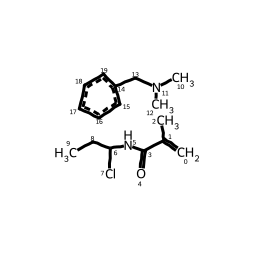 C=C(C)C(=O)NC(Cl)CC.CN(C)Cc1ccccc1